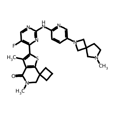 Cc1c(-c2nc(Nc3ccc(N4CC5(CCN(C)C5)C4)cn3)ncc2F)sc2c1C(=O)N(C)CC21CCC1